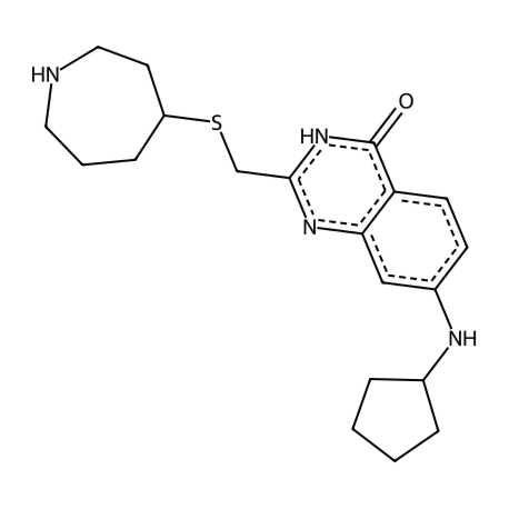 O=c1[nH]c(CSC2CCCNCC2)nc2cc(NC3CCCC3)ccc12